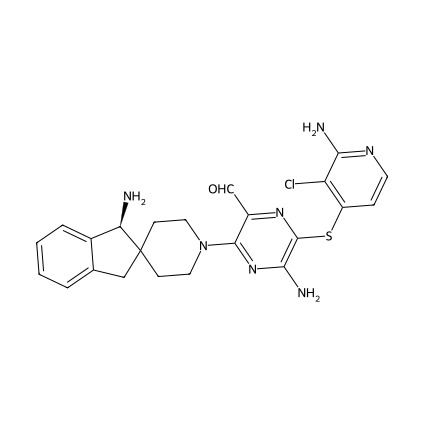 Nc1nc(N2CCC3(CC2)Cc2ccccc2[C@H]3N)c(C=O)nc1Sc1ccnc(N)c1Cl